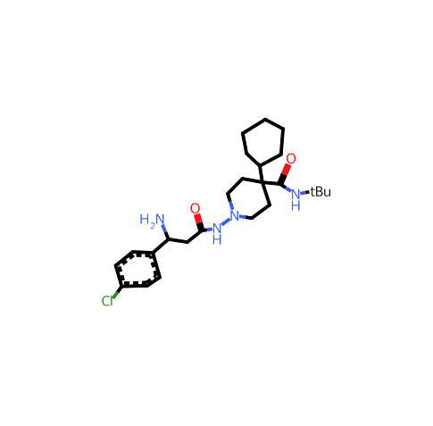 CC(C)(C)NC(=O)C1(C2CCCCC2)CCN(NC(=O)CC(N)c2ccc(Cl)cc2)CC1